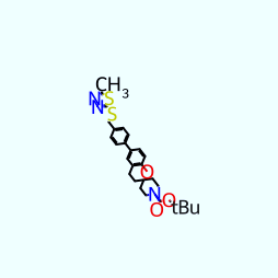 Cc1nnc(SCc2ccc(-c3ccc4c(c3)CCC3(CCN(C(=O)OC(C)(C)C)CC3)O4)cc2)s1